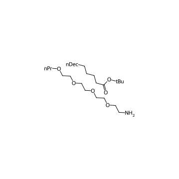 CCCCCCCCCCCCCCC(=O)OC(C)(C)C.CCCOCCOCCOCCOCCN